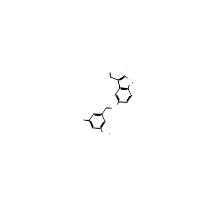 COc1cc(COc2ccc3[nH]cc(CC(=O)O)c3c2)cc(OC)c1